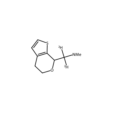 [2H]C([2H])(NC)C1OCCc2ccsc21